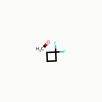 C=O.FC1(F)CCC1